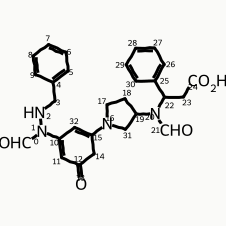 O=CN(NCc1ccccc1)C1=CC(=O)CC(N2CCC(N(C=O)C(CC(=O)O)c3ccccc3)C2)=C1